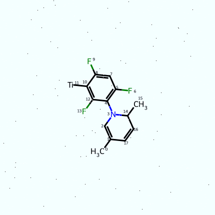 CC1=CN(c2c(F)cc(F)[c]([Ti])c2F)C(C)C=C1